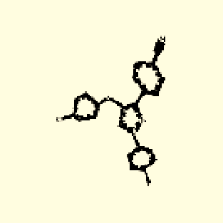 N#Cc1ccc(-c2nn(-c3ccc(F)cc3)cc2Sc2ccc(Cl)cc2)cc1